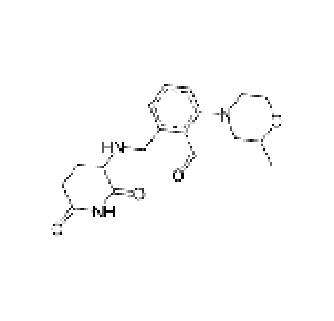 CC1CN(c2cccc(CNC3CCC(=O)NC3=O)c2C=O)CCO1